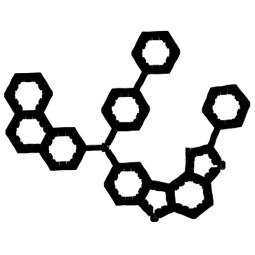 c1ccc(-c2ccc(N(c3ccc4ccc5ccccc5c4c3)c3ccc4oc5ccc6oc(-c7ccccc7)nc6c5c4c3)cc2)cc1